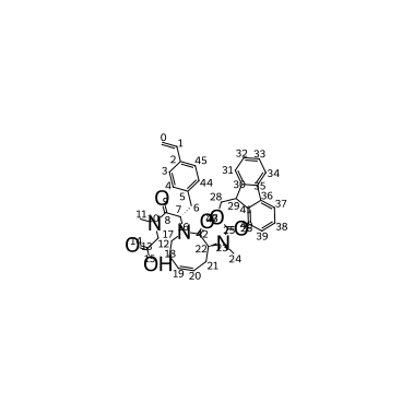 C=Cc1ccc(C[C@@H](C(=O)N(C)CC(=O)O)N2CCC=CC[C@H](N(C)C(=O)OCC3c4ccccc4-c4ccccc43)C2=O)cc1